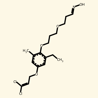 CCc1cc(OCC=C(Cl)Cl)cc(C)c1OCCCOCC/C=N/O